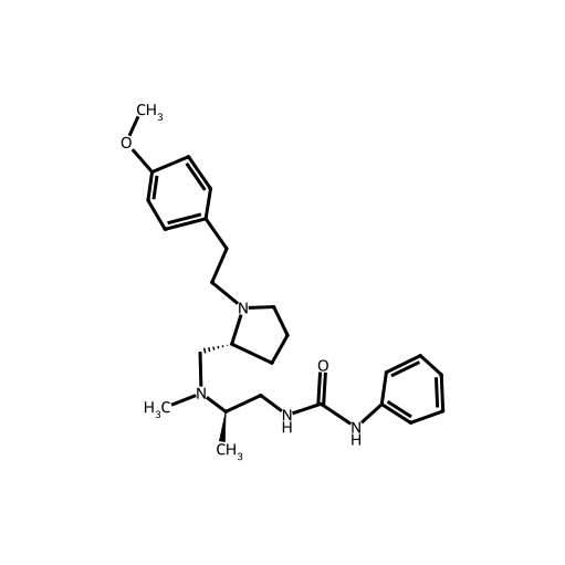 COc1ccc(CCN2CCC[C@@H]2CN(C)[C@H](C)CNC(=O)Nc2ccccc2)cc1